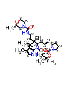 C=Cc1c(C)c[nH]c1N(C)[C@H](C/C=C/[C@@H]1CCCN1C(=O)OC(C)(C)C)C(C)(C)CCNC(=O)N1CCO[C@@H](C)C1